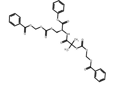 CC(C)(SC(=O)OCOC(=O)c1ccccc1)C(=O)N[C@@H](CSC(=O)OCOC(=O)c1ccccc1)C(=O)Oc1ccccc1